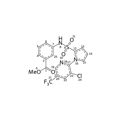 COC(=O)c1cccc(NS(=O)(=O)c2cccn2-c2ncc(C(F)(F)F)cc2Cl)c1